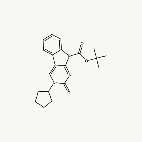 CC(C)(C)OC(=O)n1c2ccccc2c2cn(C3CCCC3)c(=O)nc21